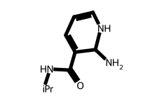 CC(C)NC(=O)C1=CC=CN[C]1N